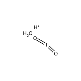 O.[H+].[O]=[Ti]=[O]